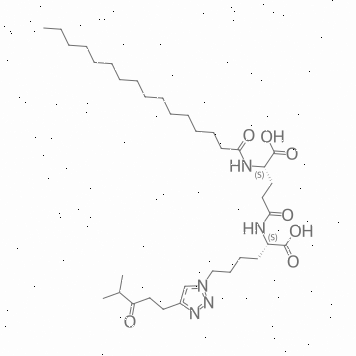 CCCCCCCCCCCCCCCC(=O)N[C@@H](CCC(=O)N[C@@H](CCCCn1cc(CCC(=O)C(C)C)nn1)C(=O)O)C(=O)O